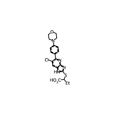 CCC(Sc1nc2nc(-c3ccc(N4CCOCC4)cc3)c(Cl)cc2[nH]1)C(=O)O